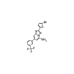 Nc1cc(-c2cccc(C(F)(F)F)c2)cc2nc(-c3ccc(Br)o3)nn12